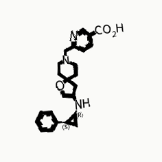 O=C(O)c1ccc(CN2CCC3(CC2)CC(N[C@@H]2C[C@H]2c2ccccc2)CO3)nc1